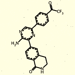 Nc1ncc(-c2ccc(C(=O)C(F)(F)F)cc2)nc1-c1ccc2c(c1)CCNC2=O